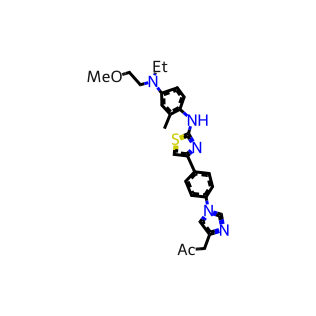 CCN(CCOC)c1ccc(Nc2nc(-c3ccc(-n4cnc(CC(C)=O)c4)cc3)cs2)c(C)c1